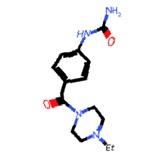 CCN1CCN(C(=O)c2ccc(NC(N)=O)cc2)CC1